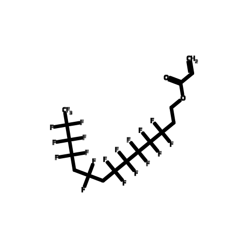 C=CC(=O)OCCC(F)(F)C(F)(F)C(F)(F)C(F)(F)C(F)(F)CC(F)(F)CC(F)(F)C(F)(F)C(F)(F)C(F)(F)F